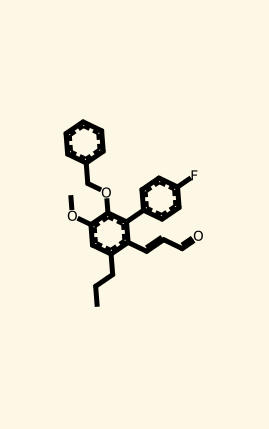 CCCc1cc(OC)c(OCc2ccccc2)c(-c2ccc(F)cc2)c1C=CC=O